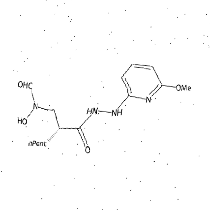 CCCCC[C@H](CN(O)C=O)C(=O)NNc1cccc(OC)n1